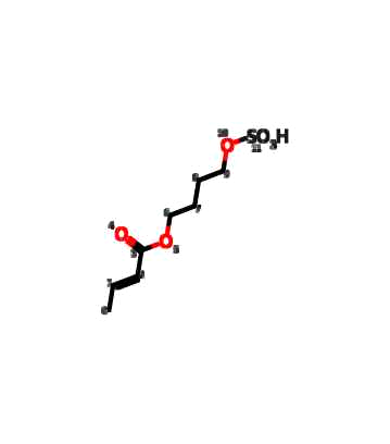 C/C=C/C(=O)OCCCCOS(=O)(=O)O